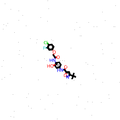 CC(C)(C)c1cc(C(=O)NC23CCC(NC(=O)COc4ccc(Cl)c(F)c4)(CC2)C(O)C3)on1